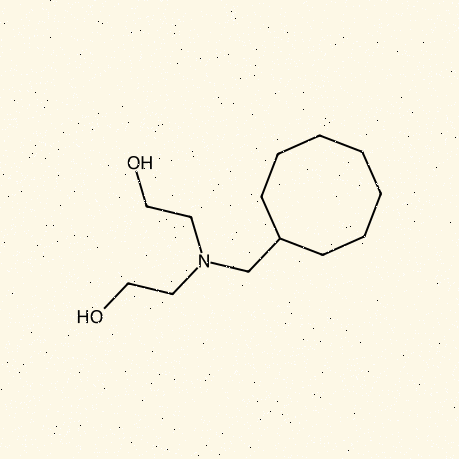 OCCN(CCO)CC1CCCCCCC1